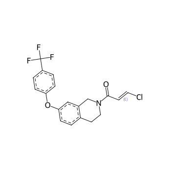 O=C(/C=C/Cl)N1CCc2ccc(Oc3ccc(C(F)(F)F)cc3)cc2C1